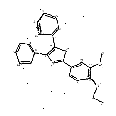 CCOc1ccc(-c2nc(-c3ccccc3)c(-c3ccccc3)s2)cc1OC